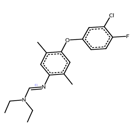 CCN(/C=N/c1cc(C)c(Oc2ccc(F)c(Cl)c2)cc1C)CC